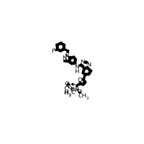 CON(C)[C@H](CS(C)(=O)=O)c1ccc(-c2ccc3ncnc(Nc4ccc5c(cnn5Cc5cccc(F)c5)c4)c3c2)o1